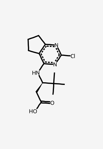 CC(C)(C)[C@@H](CC(=O)O)Nc1nc(Cl)nc2c1CCC2